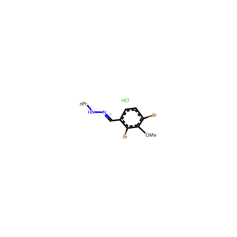 CCCN/N=C/c1ccc(Br)c(OC)c1Br.Cl